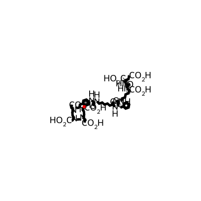 O=C(O)CC[C@H](NC(=O)N[C@@H](CCCCNC(=O)[C@H](Cc1ccccc1)NC(=O)CCCCCNC(=S)Nc1ccc(CC2CN(CC(=O)O)CCN(CC(=O)O)CCN(CC(=O)O)CCN2CC(=O)O)cc1)C(=O)O)C(=O)O